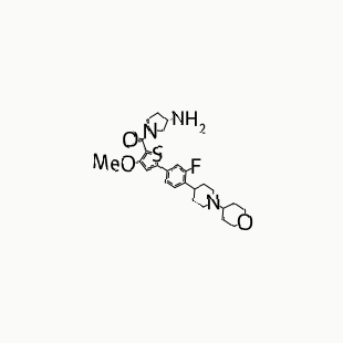 COc1cc(-c2ccc(C3CCN(C4CCOCC4)CC3)c(F)c2)sc1C(=O)N1CC[C@H](N)C1